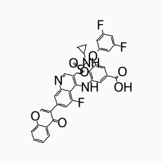 O=C(O)c1cc(Nc2c(S(=O)(=O)NC3CC3)cnc3cc(-c4coc5ccccc5c4=O)cc(F)c23)cc(Oc2cc(F)cc(F)c2)c1